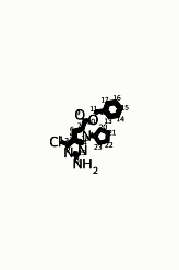 Nc1nc(Cl)c2cc(C(=O)OCc3ccccc3)n(C3CCCC3)c2n1